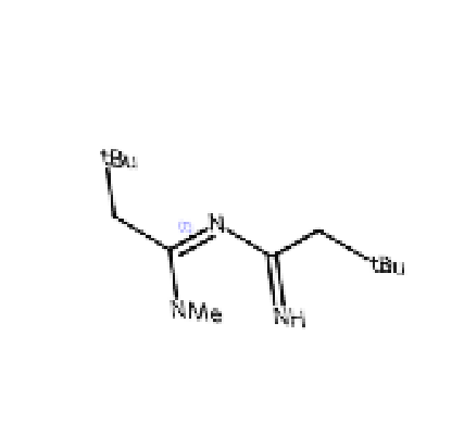 CN/C(CC(C)(C)C)=N\C(=N)CC(C)(C)C